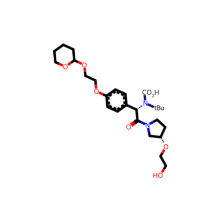 CC(C)(C)N(C(=O)O)[C@H](C(=O)N1CC[C@H](OCCO)C1)c1ccc(OCCOC2CCCCO2)cc1